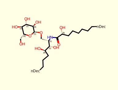 CCCCCCCCCCCCCCCC[C@@H](O)C(=O)N[C@@H](CO[C@H]1O[C@H](CO)[C@@H](O)[C@H](O)[C@H]1O)[C@H](O)[C@H](O)CCCCCCCCCCCCC